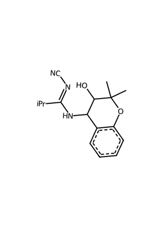 CC(C)C(=NC#N)NC1c2ccccc2OC(C)(C)C1O